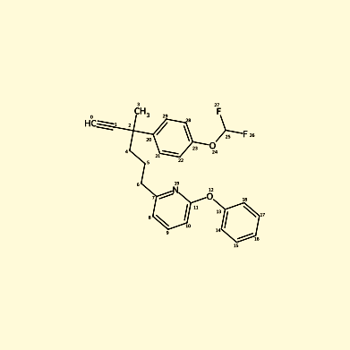 C#CC(C)(CCCc1cccc(Oc2ccccc2)n1)c1ccc(OC(F)F)cc1